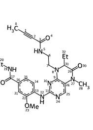 CC#CC(=O)NCCN1c2nc(Nc3ccc(C(=O)NCC)cc3OC)ncc2N(C)C(=O)C1CC